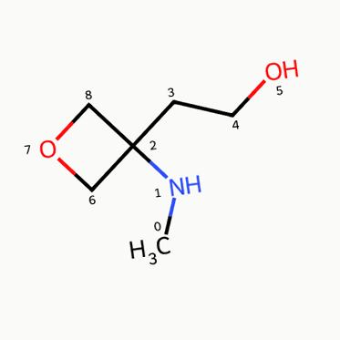 CNC1(CCO)COC1